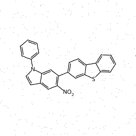 O=[N+]([O-])c1cc2ccn(-c3ccccc3)c2cc1-c1ccc2c(c1)sc1ccccc12